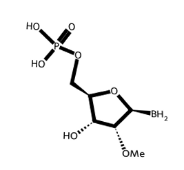 B[C@@H]1O[C@H](COP(=O)(O)O)[C@@H](O)[C@H]1OC